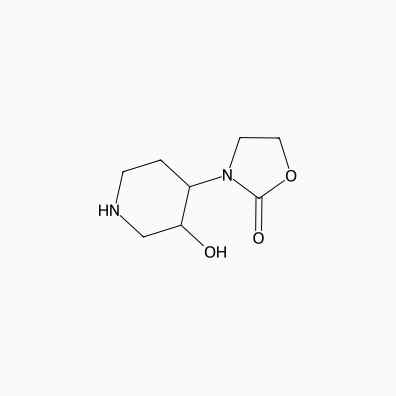 O=C1OCCN1C1CCNCC1O